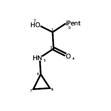 CCCC(C)C(O)C(=O)NC1CC1